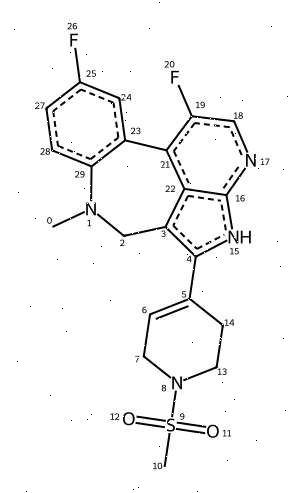 CN1Cc2c(C3=CCN(S(C)(=O)=O)CC3)[nH]c3ncc(F)c(c23)-c2cc(F)ccc21